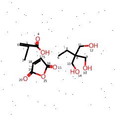 C=C(C)C(=O)O.CCC(CO)(CO)CO.O=C1C=CC(=O)O1